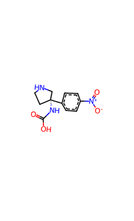 O=C(O)N[C@]1(c2ccc([N+](=O)[O-])cc2)CCNC1